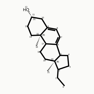 CCC1CCC2C3=CC=C4C[C@@H](O)CC[C@]4(C)C3CC[C@]12C